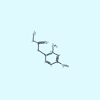 COc1ccc(CC(=O)CCl)c(C)c1